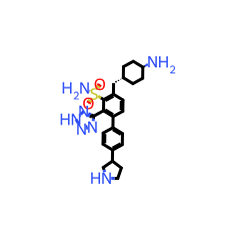 NS(=O)(=O)c1c(C[C@H]2CC[C@H](N)CC2)ccc(-c2ccc(C3CCNC3)cc2)c1-c1nn[nH]n1